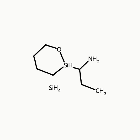 CCC(N)[SiH]1CCCCO1.[SiH4]